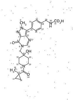 Cn1nc2c(=O)n(CC3(O)CCN(C(=O)C4(C)CC4)CC3)cnc2c1-c1ccc(CNC(=O)O)cc1